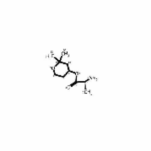 C[C@H](N)C(=O)OC1CCOC(C)(C)C1